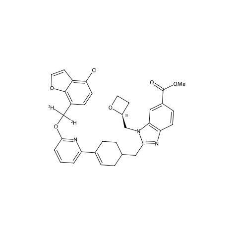 [2H]C([2H])(Oc1cccc(C2=CCC(Cc3nc4ccc(C(=O)OC)cc4n3C[C@@H]3CCO3)CC2)n1)c1ccc(Cl)c2ccoc12